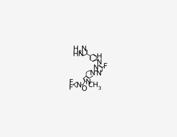 Cn1c(C(=O)N2CC(F)(F)C2)cc2c1CN(c1ncc(F)c(Nc3ccc(/C(C=N)=C/N)cc3)n1)CC2